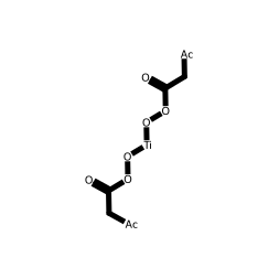 CC(=O)CC(=O)O[O][Ti][O]OC(=O)CC(C)=O